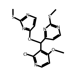 COc1ccnc(Cl)c1C(Oc1ccnc(SC)n1)c1ccnc(SC)n1